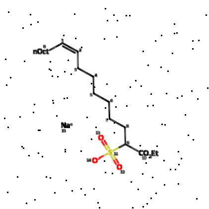 CCCCCCCC/C=C\CCCCCCC(C(=O)OCC)S(=O)(=O)[O-].[Na+]